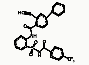 C#Cc1cc(-c2ccccc2)ccc1C(=O)Nc1ccccc1S(=O)(=O)NC(=O)c1ccc(C(F)(F)F)cc1